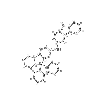 C1=CC2c3ccc(Nc4ccc5sc6ccccc6c5c4)cc3C(c3ccccc3)(c3ccccc3)C2C=C1